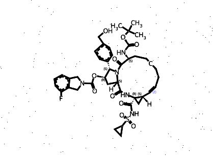 CC(C)(C)OC(=O)N[C@H]1CCCCC/C=C\[C@@H]2C[C@@]2(C(=O)NS(=O)(=O)C2CC2)NC(=O)[C@@H]2C[C@@H](OC(=O)N3Cc4cccc(F)c4C3)[C@H](c3ccc(CO)cc3)N2C1=O